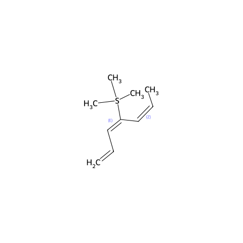 C=C/C=C(\C=C/C)S(C)(C)C